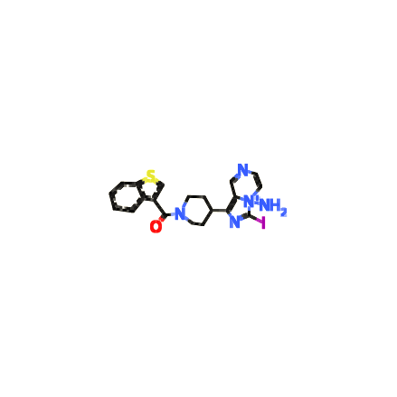 N[N+]12C=CN=CC1=C(C1CCN(C(=O)c3csc4ccccc34)CC1)N=C2I